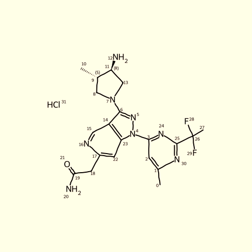 Cc1cc(-n2nc(N3C[C@H](C)[C@@H](N)C3)c3cnc(CC(N)=O)cc32)nc(C(C)(F)F)n1.Cl